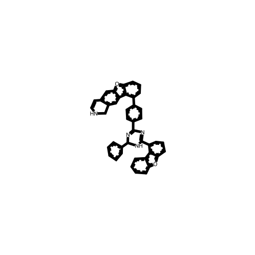 C1=Cc2cc3oc4cccc(-c5ccc(C6=NC(c7ccccc7)NC(c7cccc8oc9ccccc9c78)=N6)cc5)c4c3cc2CN1